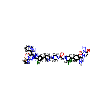 Cn1nc(N2CCC(=O)NC2=O)c2ccc(C3CCN(CC(=O)N4CCN(c5ccc(-c6cc(F)c7cn(C(C(=O)Nc8nccs8)c8ncn9c8CCC9)nc7c6)cn5)CC4)CC3(F)F)cc21